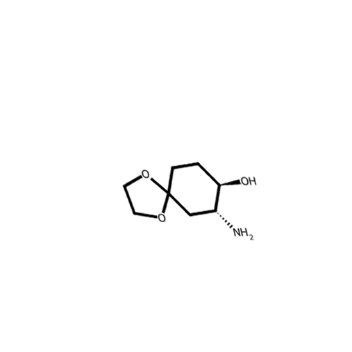 N[C@@H]1CC2(CC[C@H]1O)OCCO2